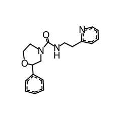 O=C(NCCc1ccccn1)N1CCOC(c2ccccc2)C1